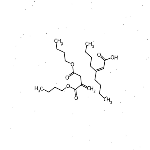 C=C(CC(=O)OCCCC)C(=O)OCCCC.CCCCC(=CC(=O)O)CCCC